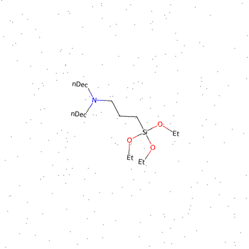 CCCCCCCCCCN(CCCCCCCCCC)CCC[Si](OCC)(OCC)OCC